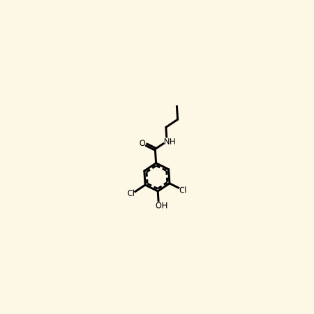 CCCNC(=O)c1cc(Cl)c(O)c(Cl)c1